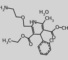 CCOC(=O)C1=C(COCCN)NC(C)=C(C(=O)OC)C1c1ccccc1Cl.O